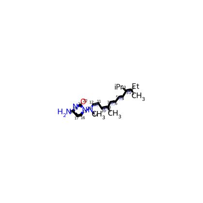 CC/C(C)=C(/C=C/C=C/C(C)=C\C=C/N(C)n1ccc(N)nc1=O)C(C)C